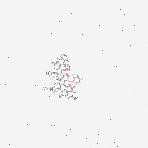 COCCCN(C)c1c(-c2cc(C)cc(-c3c(C(C)C)cc(C(C)C)cc3C(C)C)c2O)cc(Cc2ccccc2)cc1-c1cc(C)cc(-c2c(C(C)C)cc(C(C)C)cc2C(C)C)c1O